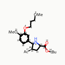 COCCCOc1cc(C2NC(C(=O)OC(C)(C)C)C[C@H]2C(C)=O)ccc1OC